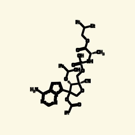 CCC(CC)COC(=O)[C@H](C)NP(=O)(O)OC[C@@]1(C#N)OCC(OC(=O)C(C)C)(c2ccc3c(N)ncnn23)[C@@H]1OC(O)C(C)C